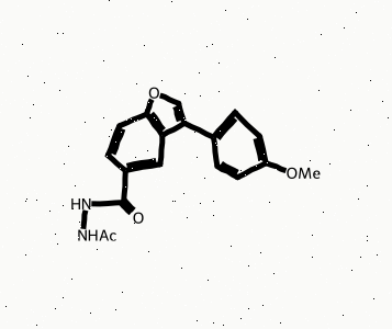 COc1ccc(-c2coc3ccc(C(=O)NNC(C)=O)cc23)cc1